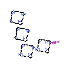 C1=Cc2cc3ccc(cc4nc(cc5ccc(cc1n2)[nH]5)C=C4)[nH]3.C1=Cc2cc3ccc(cc4nc(cc5ccc(cc1n2)[nH]5)C=C4)[nH]3.C1=Cc2cc3ccc(cc4nc(cc5ccc(cc1n2)[nH]5)C=C4)[nH]3.C1=Cc2cc3ccc(cc4nc(cc5ccc(cc1n2)[nH]5)C=C4)[nH]3.I.I.I.I